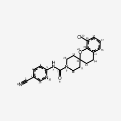 N#Cc1ccc(NC(=O)N2CCC3(CCc4cccc(Cl)c4O3)CC2)nc1